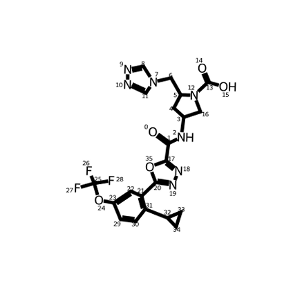 O=C(NC1CC(Cn2cnnc2)N(C(=O)O)C1)c1nnc(-c2cc(OC(F)(F)F)ccc2C2CC2)o1